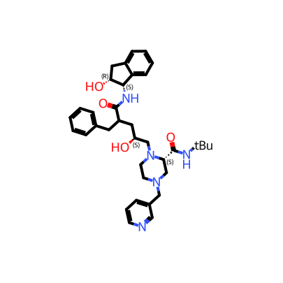 CC(C)(C)NC(=O)[C@@H]1CN(Cc2cccnc2)CCN1C[C@@H](O)CC(Cc1ccccc1)C(=O)N[C@H]1c2ccccc2C[C@H]1O